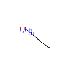 CCCCCCCCCCCCCCCCC(I)C(=O)NCCCC[C@H](N)C(=O)O